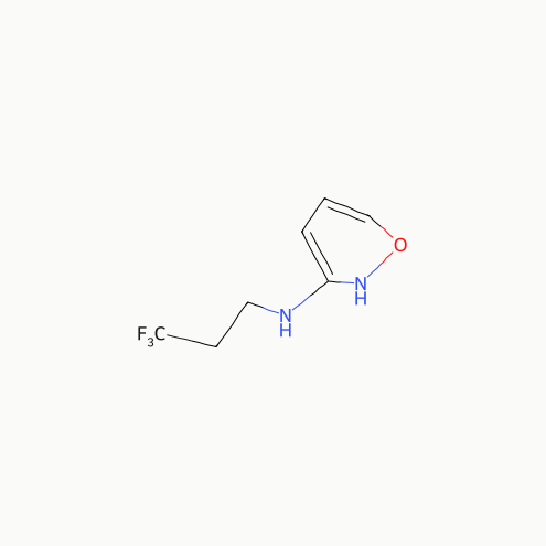 FC(F)(F)CCNC1=CC=CON1